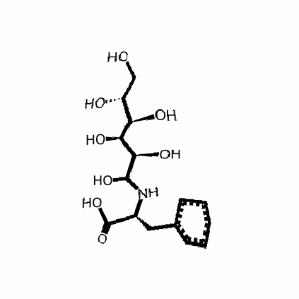 O=C(O)[C@H](Cc1ccccc1)NC(O)[C@H](O)[C@@H](O)[C@H](O)[C@H](O)CO